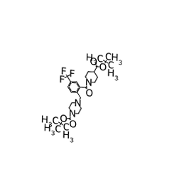 CC(C)(C)OC(=O)C1CCN(C(=O)c2cc(C(F)(F)F)ccc2CN2CCN(C(=O)OC(C)(C)C)CC2)CC1